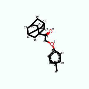 Cc1ccc(OCC(=O)C23CC4CC(CC(C4)C2)C3)cc1